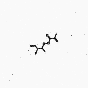 C=CC(F)C(C)OOC(=O)C(=C)C